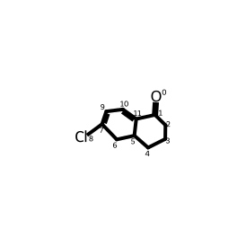 O=C1CCCC2CC(Cl)=CC=C12